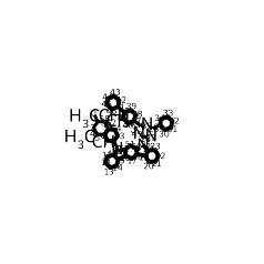 CC1CC(C)(C)c2cc(-n3c4ccccc4c4cc5c6ccccc6n(-c6nc(-c7ccccc7)nc(-c7ccc(-c8ccccc8)cc7)n6)c5cc43)ccc2C1(C)C